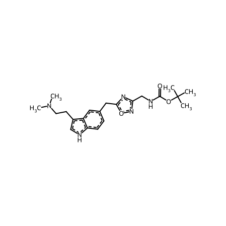 CN(C)CCc1c[nH]c2ccc(Cc3nc(CNC(=O)OC(C)(C)C)no3)cc12